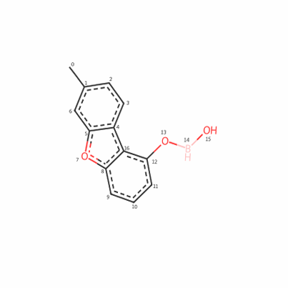 Cc1ccc2c(c1)oc1cccc(OBO)c12